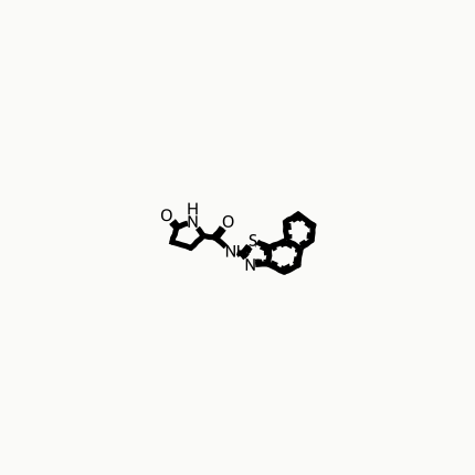 O=C1CCC(C(=O)Nc2nc3ccc4ccccc4c3s2)N1